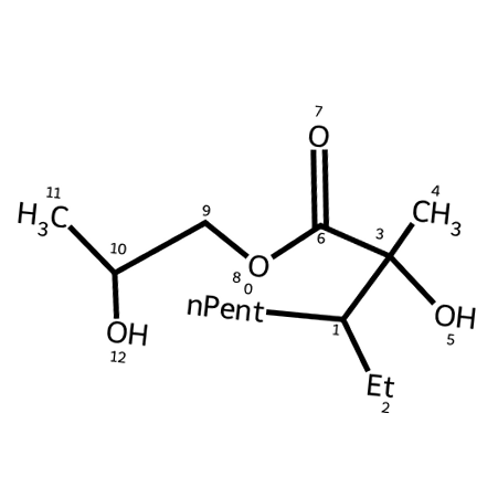 CCCCCC(CC)C(C)(O)C(=O)OCC(C)O